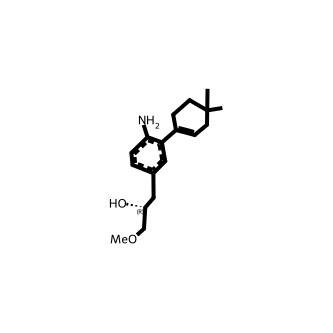 COC[C@H](O)Cc1ccc(N)c(C2=CCC(C)(C)CC2)c1